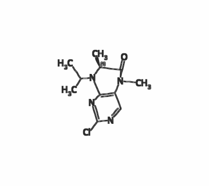 CC(C)N1c2nc(Cl)ncc2N(C)C(=O)[C@@H]1C